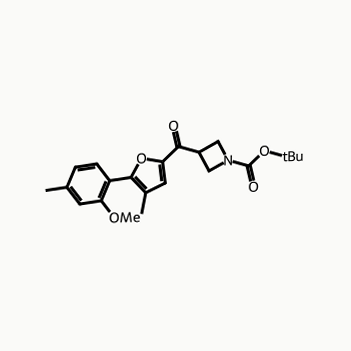 COc1cc(C)ccc1-c1oc(C(=O)C2CN(C(=O)OC(C)(C)C)C2)cc1C